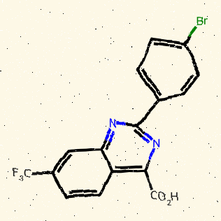 O=C(O)c1nc(-c2ccc(Br)cc2)nc2cc(C(F)(F)F)ccc12